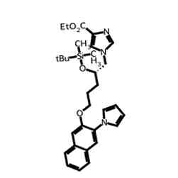 CCOC(=O)c1cn(C[C@H](CCCOc2cc3ccccc3cc2-n2cccc2)O[Si](C)(C)C(C)(C)C)cn1